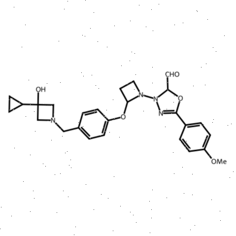 COc1ccc(C2=NN(N3CCC3Oc3ccc(CN4CC(O)(C5CC5)C4)cc3)C(C=O)O2)cc1